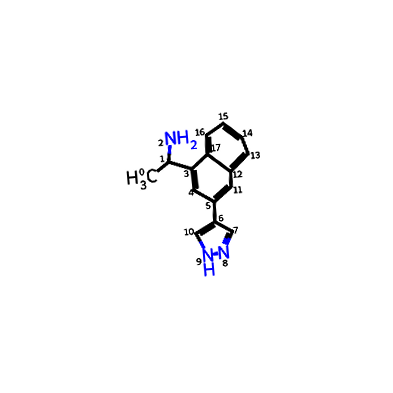 CC(N)c1cc(-c2cn[nH]c2)cc2ccccc12